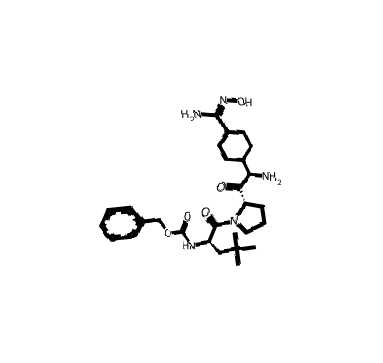 CC(C)(C)C[C@@H](NC(=O)OCc1ccccc1)C(=O)N1CCC[C@H]1C(=O)C(N)C1CCC(/C(N)=N\O)CC1